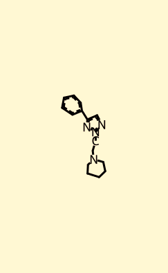 c1ccc(-c2cnn(CCN3CCCCC3)n2)cc1